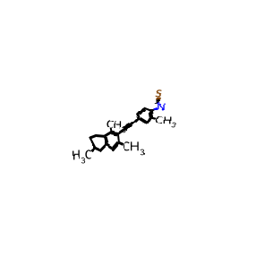 Cc1cc(C#Cc2c(C)cc3c(c2C)CCC(C)C3)ccc1N=C=S